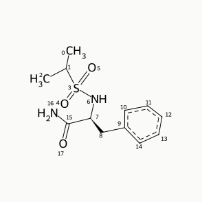 CC(C)S(=O)(=O)N[C@@H](Cc1ccccc1)C(N)=O